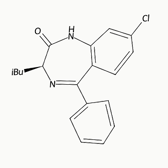 CCC(C)[C@@H]1N=C(c2ccccc2)c2ccc(Cl)cc2NC1=O